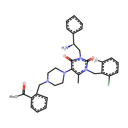 COC(=O)c1ccccc1CN1CCN(c2c(C)n(Cc3c(F)cccc3C(F)(F)F)c(=O)n(C[C@@H](N)c3ccccc3)c2=O)CC1